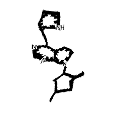 CC1CC(C)C(n2ccc3c(-c4ccc[nH]4)ncnc32)C1